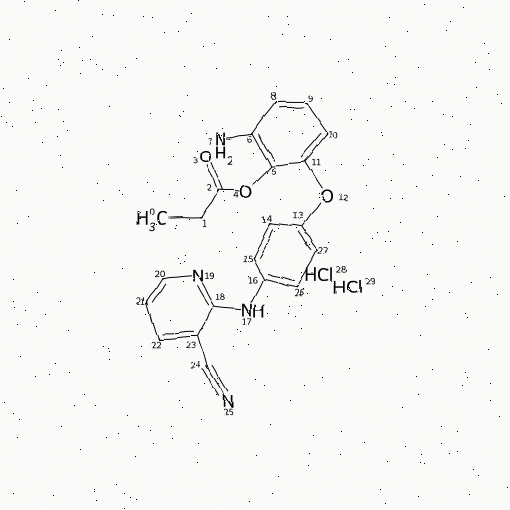 CCC(=O)Oc1c(N)cccc1Oc1ccc(Nc2ncccc2C#N)cc1.Cl.Cl